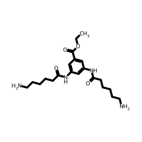 CCOC(=O)c1cc(NC(=O)CCCCCN)cc(NC(=O)CCCCCN)c1